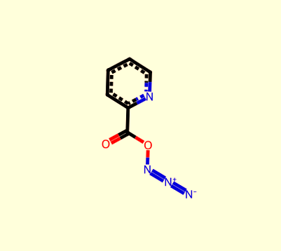 [N-]=[N+]=NOC(=O)c1ccccn1